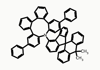 CC1(C)c2ccccc2C2(c3ccccc3-c3c(-n4c5ccc(-c6ccccc6)cc5c5ccccc5c5ccccc5c5cc(-c6ccccc6)ccc54)cccc32)c2ccccc21